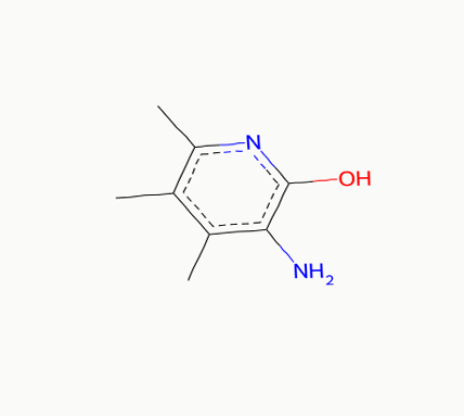 Cc1nc(O)c(N)c(C)c1C